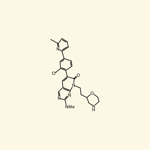 CNc1ncc2cc(-c3ccc(-c4cccc(C)n4)cc3Cl)c(=O)n(CCC3CNCCO3)c2n1